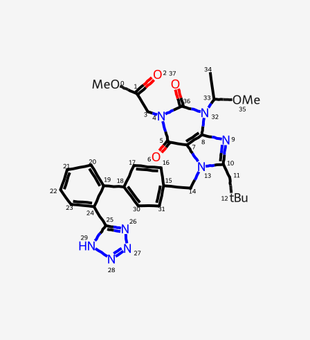 COC(=O)Cn1c(=O)c2c(nc(CC(C)(C)C)n2Cc2ccc(-c3ccccc3-c3nnn[nH]3)cc2)n(C(C)OC)c1=O